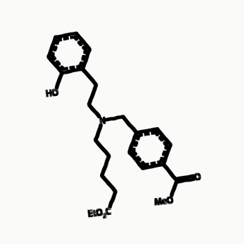 CCOC(=O)CCCCN(CCc1ccccc1O)Cc1ccc(C(=O)OC)cc1